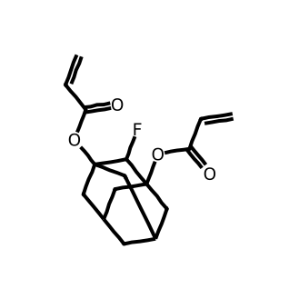 C=CC(=O)OC12CC3CC(C1)CC(OC(=O)C=C)(C3)C2F